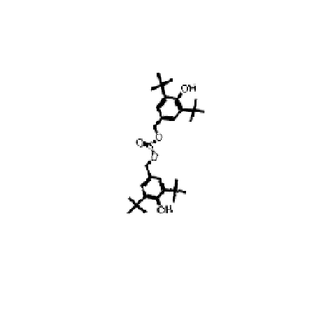 CC(C)(C)c1cc(COS(=O)OCc2cc(C(C)(C)C)c(O)c(C(C)(C)C)c2)cc(C(C)(C)C)c1O